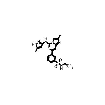 Cc1cn2c(Nc3cc(C)[nH]n3)nc(-c3cccc(S(=O)(=O)NCC(F)(F)F)c3)cc2n1